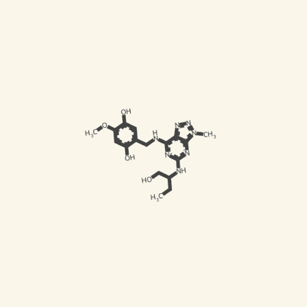 CCC(CO)Nc1nc(NCc2cc(O)c(OC)cc2O)c2nnn(C)c2n1